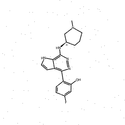 CN1CCC[C@@H](Nc2nnc(-c3ccc(F)cc3O)c3cc[nH]c23)C1